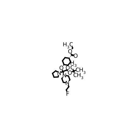 CCOC(=O)[C@H]1CC[C@H](OC(C(=O)OC(C)(C)C)(N2CCCC2)N2CCN(CCF)CC2)CC1